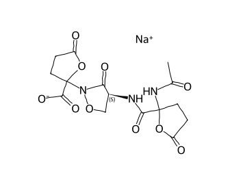 CC(=O)NC1(C(=O)N[C@H]2CON(C3(C(=O)[O-])CCC(=O)O3)C2=O)CCC(=O)O1.[Na+]